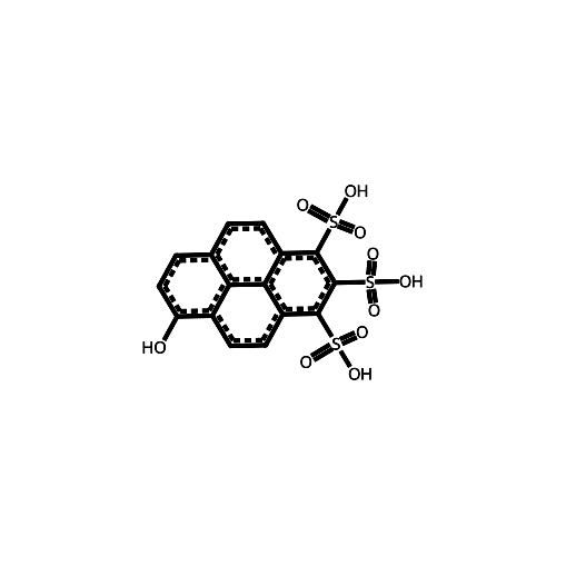 O=S(=O)(O)c1c(S(=O)(=O)O)c2ccc3ccc(O)c4ccc(c1S(=O)(=O)O)c2c34